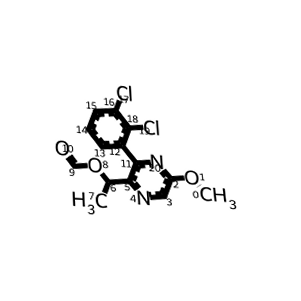 COc1cnc(C(C)OC=O)c(-c2cccc(Cl)c2Cl)n1